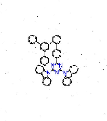 c1ccc(-c2cc(-c3ccccc3)cc(-c3ccccc3-c3ccc(-c4nc(-n5c6ccccc6c6ccccc65)nc(-n5c6ccccc6c6ccccc65)n4)cc3)c2)cc1